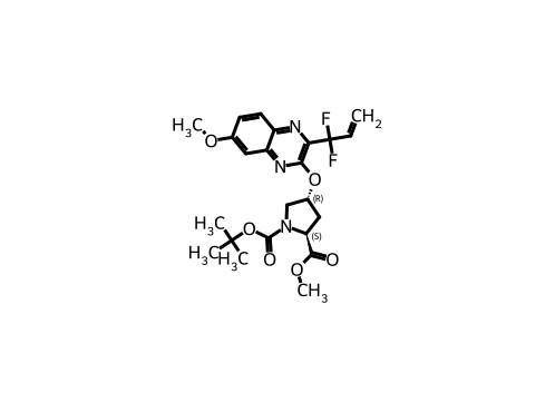 C=CC(F)(F)c1nc2ccc(OC)cc2nc1O[C@@H]1C[C@@H](C(=O)OC)N(C(=O)OC(C)(C)C)C1